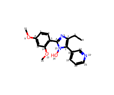 CCc1nc(-c2ccc(OC)cc2OC)n(O)c1-c1cccnc1